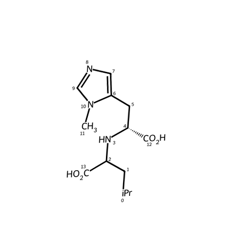 CC(C)CC(N[C@H](Cc1cncn1C)C(=O)O)C(=O)O